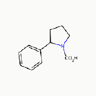 O=C(O)N1CCCC1c1ccccc1